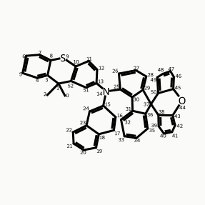 CC1(C)c2ccccc2Sc2ccc(N(c3ccc4ccccc4c3)c3cccc4c3-c3ccccc3C43c4ccccc4Oc4ccccc43)cc21